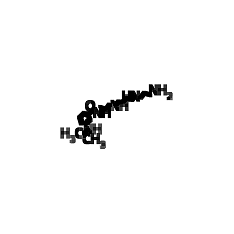 CC(C)Nc1cccc(C(=O)NCCCNCCCCNCCCN)c1